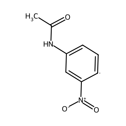 CC(=O)Nc1cc[c]c([N+](=O)[O-])c1